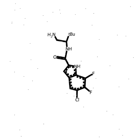 CC(C)(C)C(CN)NC(=O)c1cc2cc(Cl)c(F)c(F)c2[nH]1